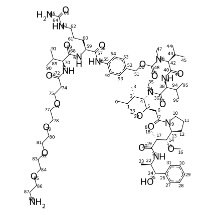 CC[C@H](C)[C@@H]([C@@H](CC(=O)N1CCC[C@H]1[C@H](OC)[C@@H](C)C(=O)N[C@H](C)[C@@H](O)c1ccccc1)OC)N(C)C(=O)[C@@H](NC(=O)[C@H](C(C)C)N(C)C(=O)OCc1ccc(NC(=O)[C@H](CCCNC(N)=O)NC(=O)[C@@H](NC(=O)CCOCCOCCOCCOCCN)C(C)C)cc1)C(C)C